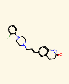 O=C1CCc2cc(C=CCN3CCN(c4ccccc4F)CC3)ccc2N1